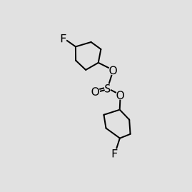 O=S(OC1CCC(F)CC1)OC1CCC(F)CC1